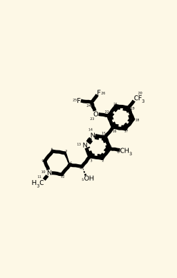 Cc1cc([C@H](O)[C@@H]2CCCN(C)C2)nnc1-c1ccc(C(F)(F)F)cc1OC(F)F